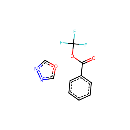 O=C(OC(F)(F)F)c1ccccc1.c1nnco1